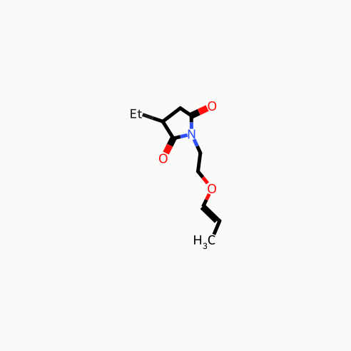 CC=COCCN1C(=O)CC(CC)C1=O